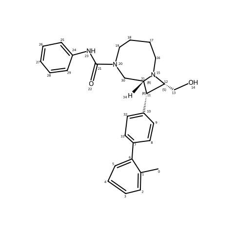 Cc1ccccc1-c1ccc([C@H]2[C@@H](CO)N3CCCCN(C(=O)Nc4ccccc4)C[C@@H]23)cc1